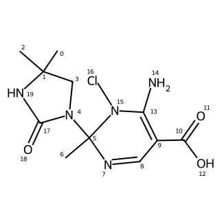 CC1(C)CN(C2(C)N=CC(C(=O)O)=C(N)N2Cl)C(=O)N1